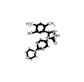 Cc1cc(C)c(C(C)C)cc1-c1n[nH]c(=O)n1-c1cnc(N2CCOCC2)nc1